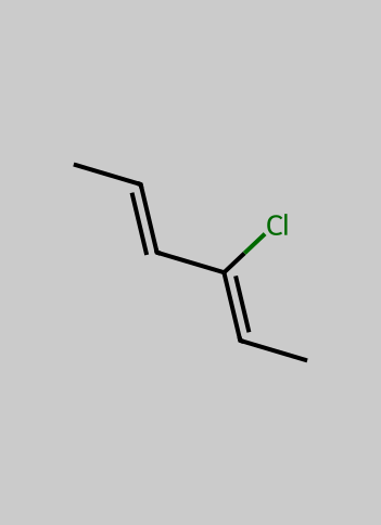 CC=CC(Cl)=CC